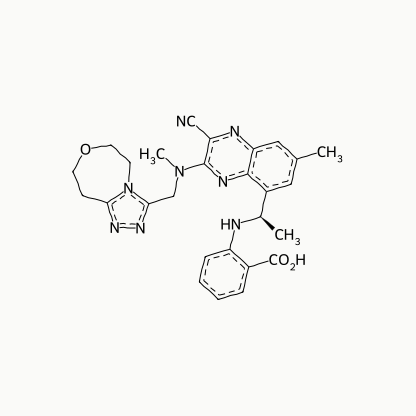 Cc1cc([C@@H](C)Nc2ccccc2C(=O)O)c2nc(N(C)Cc3nnc4n3CCOCC4)c(C#N)nc2c1